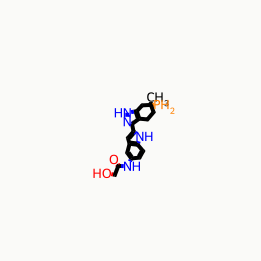 CC1(P)CCc2c(-c3cc4cc(NC(=O)CO)ccc4[nH]3)n[nH]c2C1